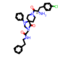 N[C@H](Cc1ccc(Cl)cc1)C(=O)N1CCC2(CC1)C(=O)N(CC(=O)NCCc1ccccc1)CN2c1ccccc1